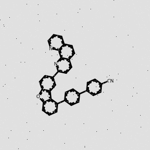 N#Cc1ccc(-c2ccc(-c3cccc4oc5ccc(-c6ccc7ccc8cccnc8c7n6)cc5c34)cc2)cc1